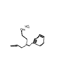 C=CCN(CCO)Cc1ccccc1.Cl